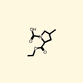 CCOC(=O)C1CC(C)CN1C(=O)O